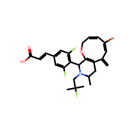 C=C1/C=C(Br)\C=C/COC2=C1CC(C)N(CC(C)(C)F)C2c1c(F)cc(/C=C/C(=O)O)cc1F